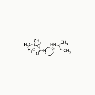 CCC(C)N[C@@H]1CCCN(C(=O)OC(C)(C)C)C1